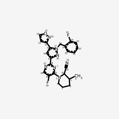 CC1CCCN(c2nc(-c3cc(-c4ccon4)n(Cc4ccccc4F)n3)ncc2F)C1C#N